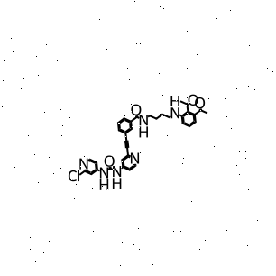 CC(=O)c1cccc(NCCCCNC(=O)c2cccc(C#Cc3cc(NC(=O)Nc4ccnc(Cl)c4)ccn3)c2)c1C(C)=O